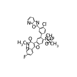 CNC(=O)c1c(-c2ccc(F)cc2)oc2cc(N(C)S(C)(=O)=O)c(-c3ccc(Cl)c(-c4nc5cccnc5o4)c3)cc12